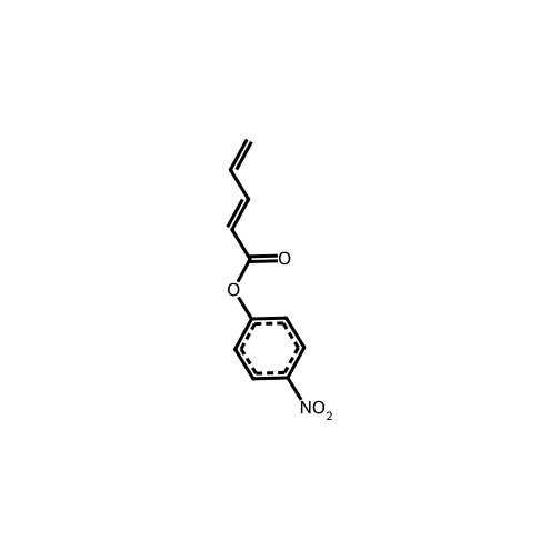 C=CC=CC(=O)Oc1ccc([N+](=O)[O-])cc1